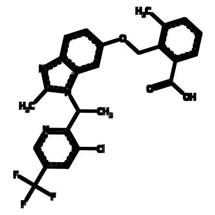 Cc1cccc(C(=O)O)c1COc1ccc2nc(C)n(C(C)c3ncc(C(F)(F)F)cc3Cl)c2c1